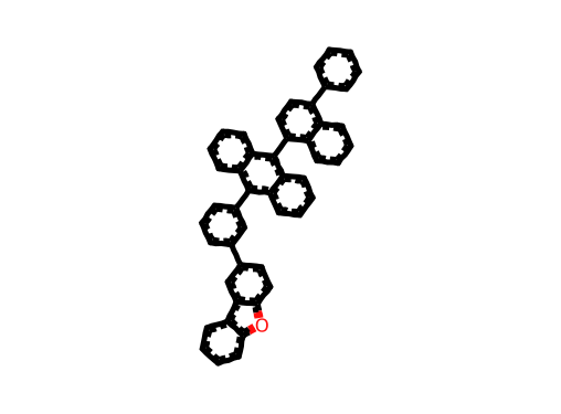 c1ccc(-c2ccc(-c3c4ccccc4c(-c4cccc(-c5ccc6oc7ccccc7c6c5)c4)c4ccccc34)c3ccccc23)cc1